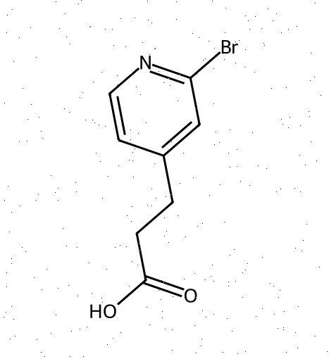 O=C(O)CCc1ccnc(Br)c1